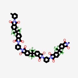 Cc1cccc(N2C(=O)c3ccc(C(c4ccc5c(c4)C(=O)N(c4cccc(N6C(=O)c7ccc(C(c8ccc9c(c8)C(=O)N(c8cccc(N%10C(=O)c%11ccc(C(c%12ccc%13c(c%12)C(=O)N(C)C%13=O)(C(F)(F)F)C(F)(F)F)cc%11C%10=O)c8)C9=O)(C(F)(F)F)C(F)(F)F)cc7C6=O)c4)C5=O)(C(F)(F)F)C(F)(F)F)cc3C2=O)c1